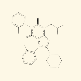 CCc1ccccc1-n1c(=O)c2c(nc(N3CCNCC3)n2-c2ccccc2Cl)n(CC(N)=O)c1=O